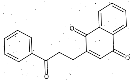 O=C(CCC1=CC(=O)c2ccccc2C1=O)c1ccccc1